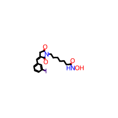 O=C(CCCCCCN1C(=O)CC(=Cc2cccc(I)c2)C1=O)NO